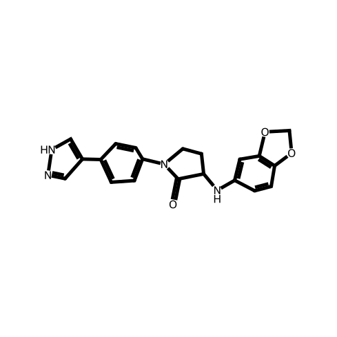 O=C1C(Nc2ccc3c(c2)OCO3)CCN1c1ccc(-c2cn[nH]c2)cc1